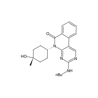 CCCCNc1ncc2c3ccccc3c(=O)n([C@H]3CC[C@@](C)(O)CC3)c2n1